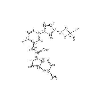 Cc1ccc(-c2noc(C3CC(F)(F)C3)n2)cc1NC(=O)c1cnc2cc(N)ccn12